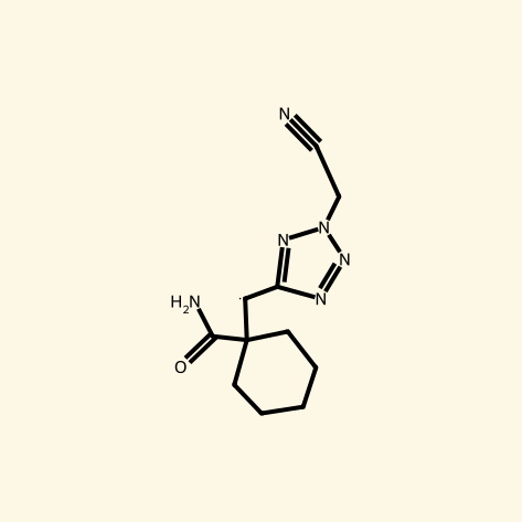 N#CCn1nnc([CH]C2(C(N)=O)CCCCC2)n1